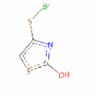 Oc1nc(SBr)cs1